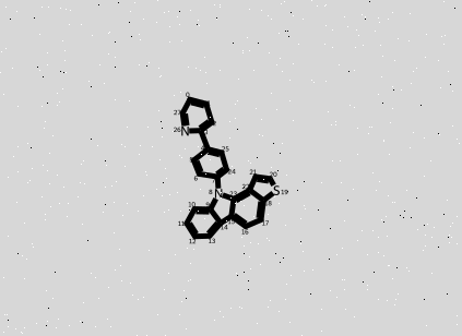 c1ccc(-c2ccc(-n3c4ccccc4c4ccc5sccc5c43)cc2)nc1